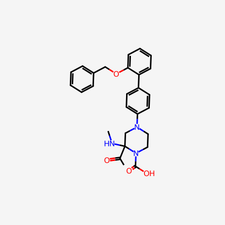 CNC1(C(C)=O)CN(c2ccc(-c3ccccc3OCc3ccccc3)cc2)CCN1C(=O)O